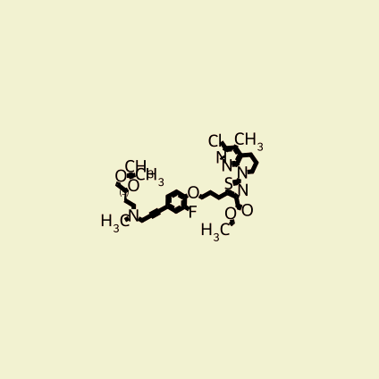 CCOC(=O)c1nc(N2CCCc3c2nnc(Cl)c3C)sc1CCCOc1ccc(C#CCN(C)CC[C@H]2COC(C)(C)O2)cc1F